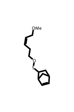 COC/C=C\CCOSC1CC2C=CC1C2